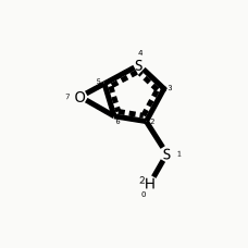 [2H]Sc1csc2c1O2